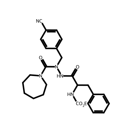 CCOC(=O)NC(Cc1ccccc1)C(=O)NN(Cc1ccc(C#N)cc1)C(=O)N1CCCCCC1